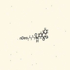 CCCCCCCCCCCCCCCC(=O)Nc1ccc2c(c1)C(=O)C(=O)c1ccccc1-2